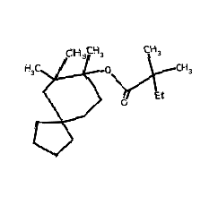 CCC(C)(C)C(=O)OC1(C)CCC2(CCCC2)CC1(C)C